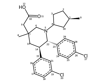 C[C@@H]1CCC(N2CC(C)(CC(=O)O)C[C@H](c3cccc(Cl)c3)[C@H]2c2ccc(Cl)cc2)C1